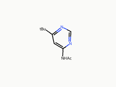 CC(=O)Nc1cc(C(C)(C)C)ncn1